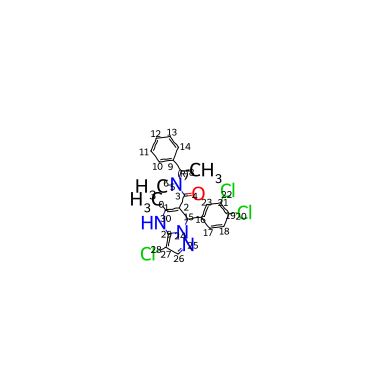 CC1=C(C(=O)N(C)[C@H](C)c2ccccc2)C(c2ccc(Cl)c(Cl)c2)n2ncc(Cl)c2N1